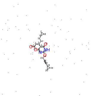 O=c1cc(CCC2CC2)c2c(=O)[nH]c(OCC#CC3CC3)nc2o1